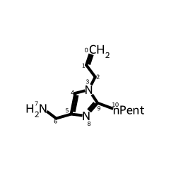 C=CCn1cc(CN)nc1CCCCC